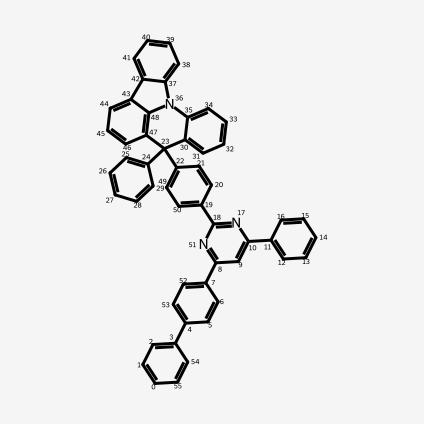 c1ccc(-c2ccc(-c3cc(-c4ccccc4)nc(-c4ccc(C5(c6ccccc6)c6ccccc6-n6c7ccccc7c7cccc5c76)cc4)n3)cc2)cc1